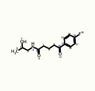 CC(O)CNC(=O)CCCC(=O)c1ccc(F)cc1